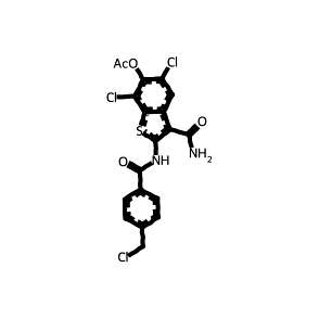 CC(=O)Oc1c(Cl)cc2c(C(N)=O)c(NC(=O)c3ccc(CCl)cc3)sc2c1Cl